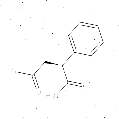 CCC(=O)C[C@H](C(N)=O)c1ccccc1